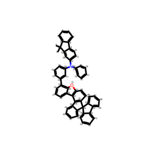 CC1(C)c2ccccc2-c2ccc(N(c3ccccc3)c3cccc(-c4cccc5c4oc4ccc6c(c45)-c4ccccc4C64c5ccccc5-c5ccccc54)c3)cc21